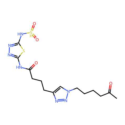 CC(=O)CCCCn1cc(CCCC(=O)Nc2nnc(N[SH](=O)=O)s2)nn1